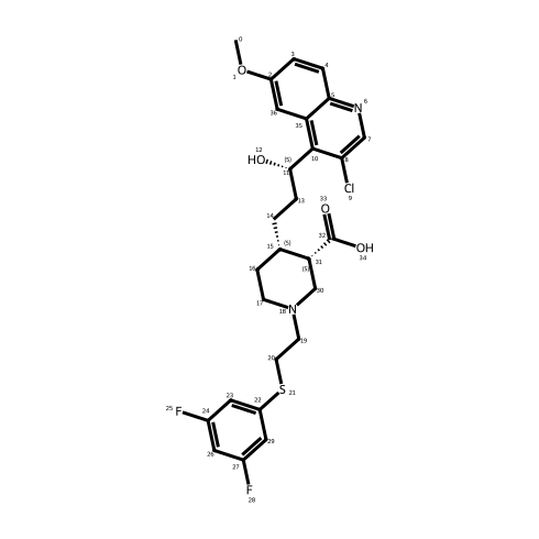 COc1ccc2ncc(Cl)c([C@@H](O)CC[C@H]3CCN(CCSc4cc(F)cc(F)c4)C[C@H]3C(=O)O)c2c1